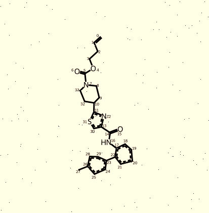 C=CCCOC(=O)N1CCC(c2nc(C(=O)Nc3ccccc3-c3ccc(C)cc3)cs2)CC1